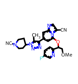 COCC(Oc1cc(-c2nnn(C3CCN(C#N)CC3)c2C)cc2ncc(C#N)n12)c1ccc(F)cn1